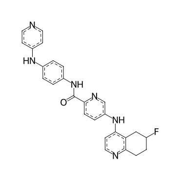 O=C(Nc1ccc(Nc2ccncc2)cc1)c1ccc(Nc2ccnc3c2CC(F)CC3)cn1